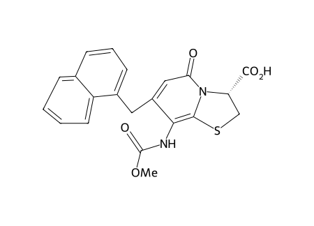 COC(=O)Nc1c(Cc2cccc3ccccc23)cc(=O)n2c1SC[C@H]2C(=O)O